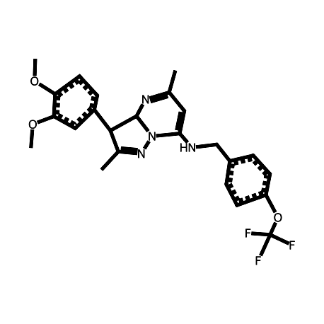 COc1ccc(C2C(C)=NN3C(NCc4ccc(OC(F)(F)F)cc4)=CC(C)=NC23)cc1OC